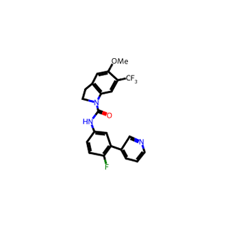 COc1cc2c(cc1C(F)(F)F)N(C(=O)Nc1ccc(F)c(-c3cccnc3)c1)CC2